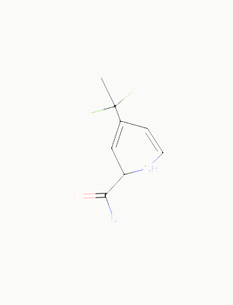 B=C(N)C1C=C(C(C)(F)F)C=CN1